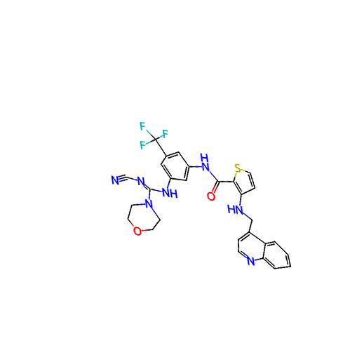 N#CN=C(Nc1cc(NC(=O)c2sccc2NCc2ccnc3ccccc23)cc(C(F)(F)F)c1)N1CCOCC1